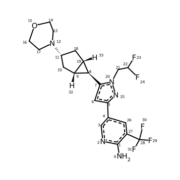 Nc1ncc(-c2cc([C@H]3[C@@H]4C[C@H](N5CCOCC5)C[C@@H]43)n(CC(F)F)n2)cc1C(F)(F)F